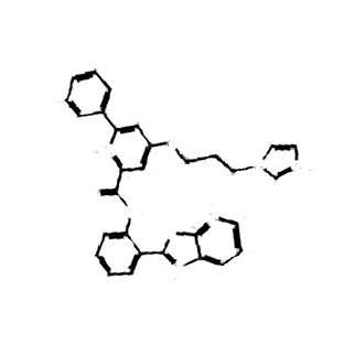 O=C(Nc1ccccc1-c1nc2cccnc2s1)c1cc(NCCCn2ccnc2)cc(-c2ccccc2)n1